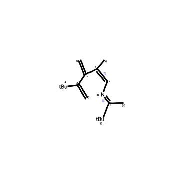 C=C(C(=C)C(C)(C)C)/C(C)=C\N=C(/C)C(C)(C)C